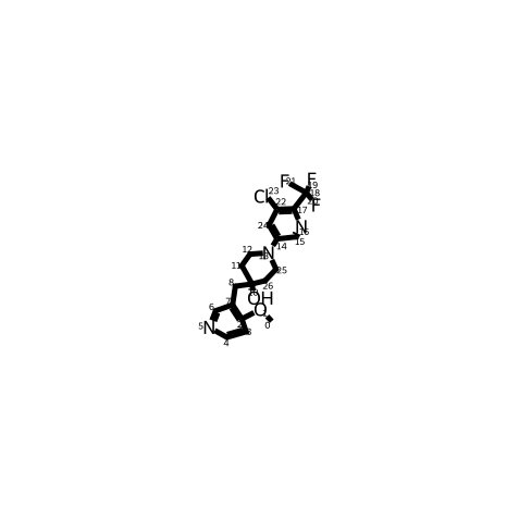 COc1ccncc1CC1(O)CCN(c2cnc(C(F)(F)F)c(Cl)c2)CC1